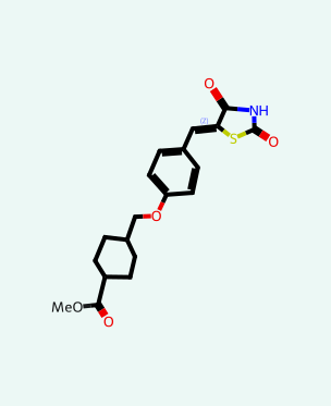 COC(=O)C1CCC(COc2ccc(/C=C3\SC(=O)NC3=O)cc2)CC1